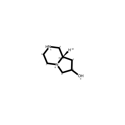 OC1C[C@H]2CNCCN2C1